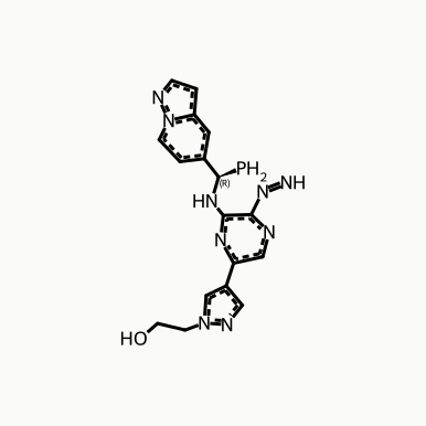 N=Nc1ncc(-c2cnn(CCO)c2)nc1N[C@H](P)c1ccn2nccc2c1